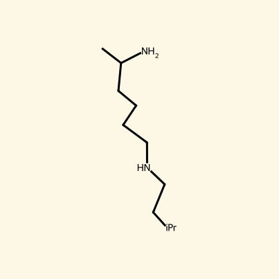 CC(C)CCNCCCCC(C)N